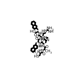 C[C@@H](NC(=O)[C@@H](N)CS)C(=O)N[C@@H](Cc1c[nH]cn1)C(=O)N[C@H](Cc1ccc2ccccc2c1)C(=O)N[C@@H](CCCNC(=N)N)C(=O)N[C@@H](Cc1ccc2ccccc2c1)C(=O)O